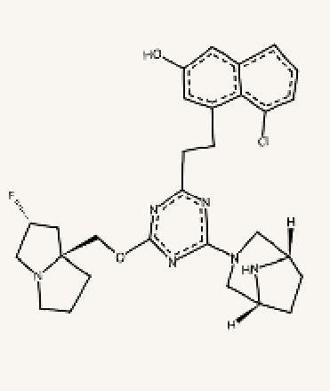 Oc1cc(CCc2nc(OC[C@@]34CCCN3C[C@H](F)C4)nc(N3C[C@H]4CC[C@@H](C3)N4)n2)c2c(Cl)cccc2c1